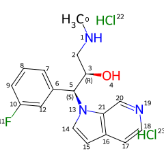 CNC[C@@H](O)[C@H](c1cccc(F)c1)n1ccc2ccncc21.Cl.Cl